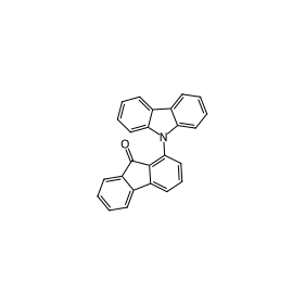 O=C1c2ccccc2-c2cccc(-n3c4ccccc4c4ccccc43)c21